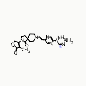 CC1=C(N2CCC3(CCN(CCc4cnc(N(N)/C=N\N)cn4)CC3)C2=O)COC1=O